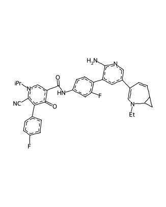 CCN1C=C(c2cnc(N)c(-c3ccc(NC(=O)c4cn(C(C)C)c(C#N)c(-c5ccc(F)cc5)c4=O)cc3F)c2)C=CC2CC21